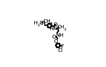 C=C(CCNC(=O)COc1ccc(Cl)c(F)c1)NC(=O)c1ccc(CN(C)C)cc1